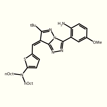 CCCCCCCCN(CCCCCCCC)c1ccc(/C=c2/c(C(C)(C)C)nn3c(-c4cc(OC)ccc4N)nnc23)s1